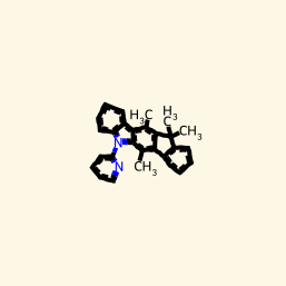 Cc1c2c(c(C)c3c1c1ccccc1n3-c1ccccn1)-c1ccccc1C2(C)C